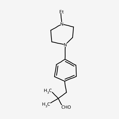 CCN1CCN(c2ccc(CC(C)(C)C=O)cc2)CC1